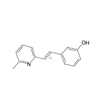 Cc1cccc(/C=C/c2cccc(O)c2)n1